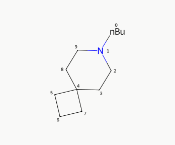 CCCCN1CCC2(CCC2)CC1